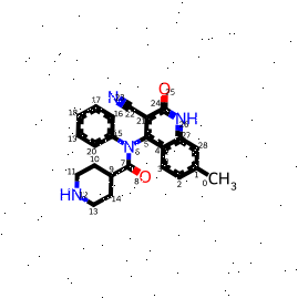 Cc1ccc2c(N(C(=O)C3CCNCC3)c3ccccc3)c(C#N)c(=O)[nH]c2c1